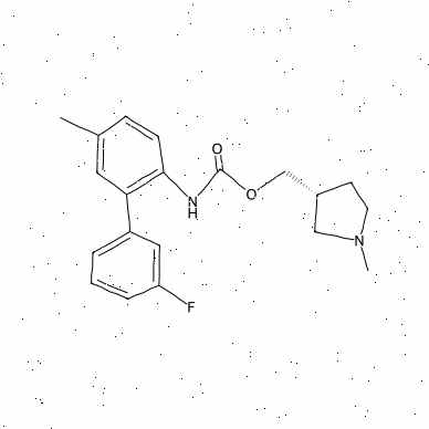 Cc1ccc(NC(=O)OC[C@@H]2CCN(C)C2)c(-c2cccc(F)c2)c1